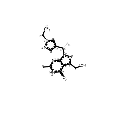 Cc1nc2c(c(CO)nn2[C@@H](C)c2cnn(CC(F)(F)F)c2)c(=O)[nH]1